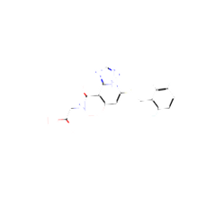 Cc1c(F)ccc(F)c1CSc1cc(O)c(C(=O)NCC(=O)O)c2ncnn12